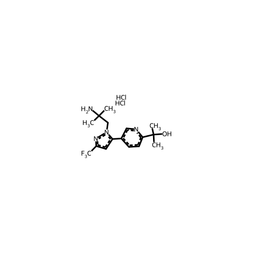 CC(C)(N)Cn1nc(C(F)(F)F)cc1-c1ccc(C(C)(C)O)nc1.Cl.Cl